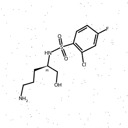 NCCC[C@H](CO)NS(=O)(=O)c1ccc(F)cc1Cl